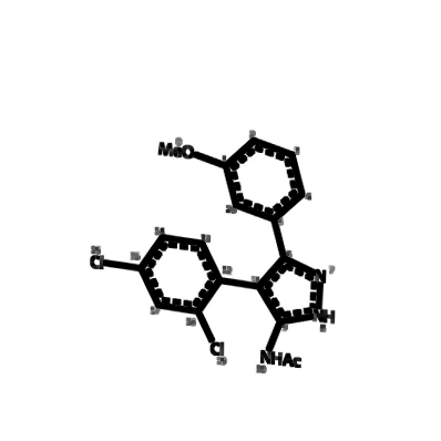 COc1cccc(-c2n[nH]c(NC(C)=O)c2-c2ccc(Cl)cc2Cl)c1